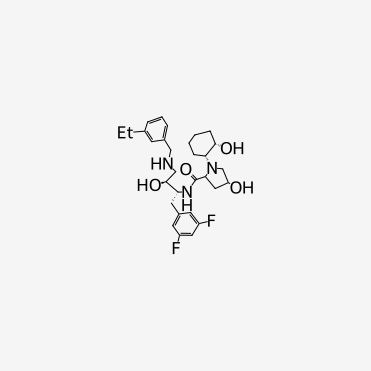 CCc1cccc(CNC[C@H](O)[C@@H](Cc2cc(F)cc(F)c2)NC(=O)C2CC(O)CN2[C@@H]2CCCC[C@@H]2O)c1